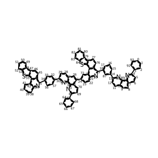 c1ccc(-c2ccc3ccc4ccc(-c5cccc(-c6nc7ccc(-c8cc9ccc(-c%10ccc(-c%11nc%12ccccc%12c%12c%11ccc%11c%13ccccc%13sc%11%12)cc%10)nc9c9nc(-c%10ccccc%10)ccc89)cc7c7c6ccc6c8ccccc8sc67)c5)nc4c3n2)cc1